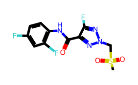 CS(=O)(=O)Cn1nc(F)c(C(=O)Nc2ccc(F)cc2F)n1